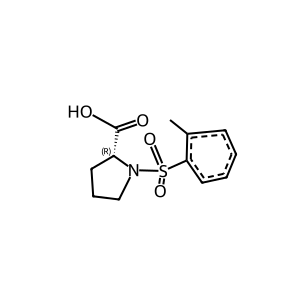 Cc1ccccc1S(=O)(=O)N1CCC[C@@H]1C(=O)O